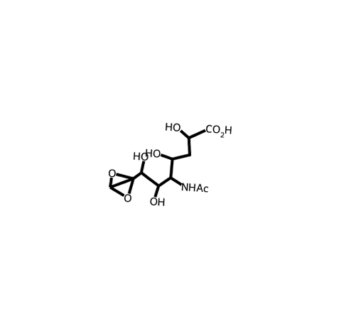 CC(=O)NC(C(O)CC(O)C(=O)O)C(O)C(O)C12OC1O2